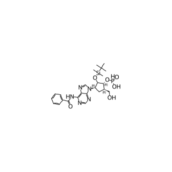 CC(C)(C)[Si](C)(C)OC1[C@H](n2cnc3c(NC(=O)c4ccccc4)ncnc32)C[C@H](CO)[C@H]1O[PH](=O)O